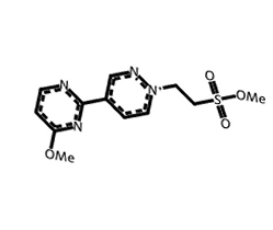 COc1ccnc(-c2cc[n+](CCS(=O)(=O)OC)nc2)n1